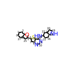 c1ccc2oc(-c3cc4ncnc(Nc5ccc6[nH]ccc6c5)c4s3)cc2c1